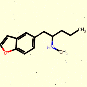 CCCC(Cc1ccc2occc2c1)NC